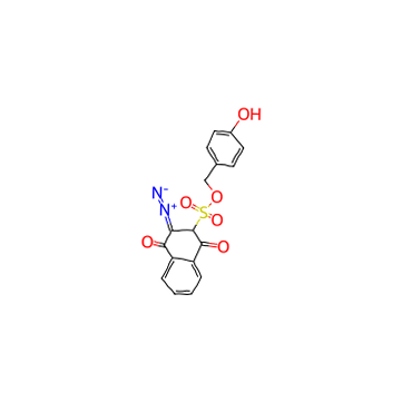 [N-]=[N+]=C1C(=O)c2ccccc2C(=O)C1S(=O)(=O)OCc1ccc(O)cc1